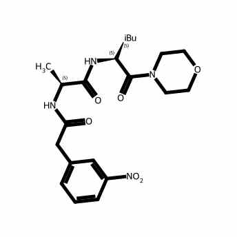 CC[C@H](C)[C@H](NC(=O)[C@H](C)NC(=O)Cc1cccc([N+](=O)[O-])c1)C(=O)N1CCOCC1